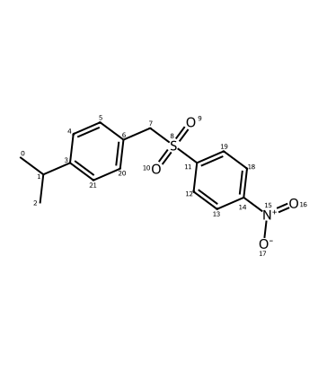 CC(C)c1ccc(CS(=O)(=O)c2ccc([N+](=O)[O-])cc2)cc1